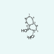 [2H]Oc1ccc2ccccc2c1O